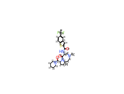 CC(=O)N1CC[C@H]2CC[C@@H](C(=O)N3CCCCC3)N2C(=O)[C@@H](NC(=O)c2cc3cc(C(C)(F)F)ccc3s2)C1